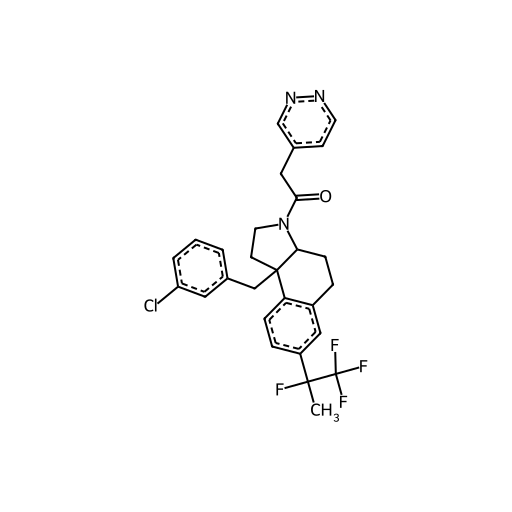 CC(F)(c1ccc2c(c1)CCC1N(C(=O)Cc3ccnnc3)CCC21Cc1cccc(Cl)c1)C(F)(F)F